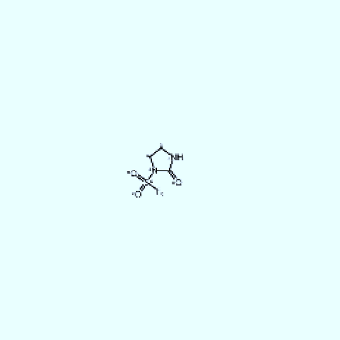 O=C1NCCN1S(=O)(=O)F